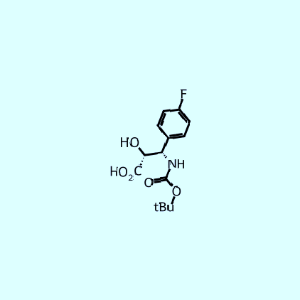 CC(C)(C)OC(=O)N[C@@H](c1ccc(F)cc1)[C@@H](O)C(=O)O